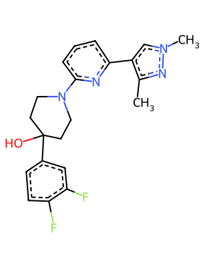 Cc1nn(C)cc1-c1cccc(N2CCC(O)(c3ccc(F)c(F)c3)CC2)n1